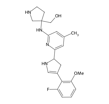 COc1cccc(F)c1C1=CNC(c2cc(C)cc(NC3(CO)CCNC3)n2)C1